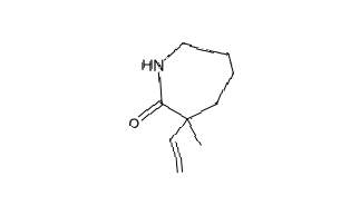 C=CC1(C)CCCCNC1=O